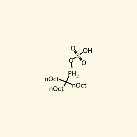 CCCCCCCCC(P)(CCCCCCCC)CCCCCCCC.COS(=O)(=O)O